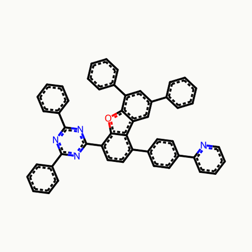 c1ccc(-c2cc(-c3ccccc3)c3oc4c(-c5nc(-c6ccccc6)nc(-c6ccccc6)n5)ccc(-c5ccc(-c6ccccn6)cc5)c4c3c2)cc1